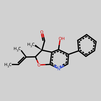 C/C=C(\C)C1Oc2ncc(-c3ccccc3)c(O)c2[C@@]1(C)C=O